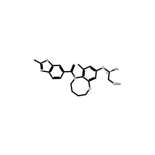 C=C(c1ccc2nc(C)sc2c1)N1CCCCOc2cc(O[C@H](COC)C(C)=O)cc(C)c21